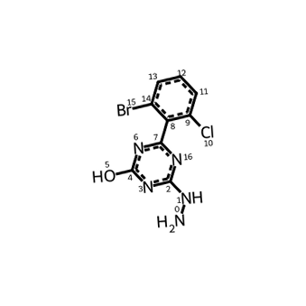 NNc1nc(O)nc(-c2c(Cl)cccc2Br)n1